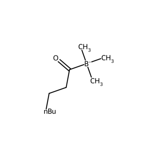 CCCCCCC(=O)[B-](C)(C)C